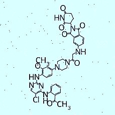 COc1cc(N2CCN(C(=O)CNc3ccc4c(c3)C(=O)N(C3CCC(=O)NC3=O)C4=O)CC2)ccc1Nc1ncc(Cl)c(Nc2ccccc2C(C)=O)n1